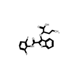 CCCC(Oc1c(C(=O)Nc2c(F)cccc2F)sc2ccccc12)C(=O)O